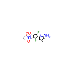 Cc1cc(-c2c(F)cc3c(c2F)CN(N2C(=O)CCCC2=O)C3=O)nc(N)c1C